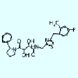 Cc1cc(F)ccc1Cc1csc(CNC(=O)[C@H](O)C(O)C(=O)N2CCCC2c2ccccc2)n1